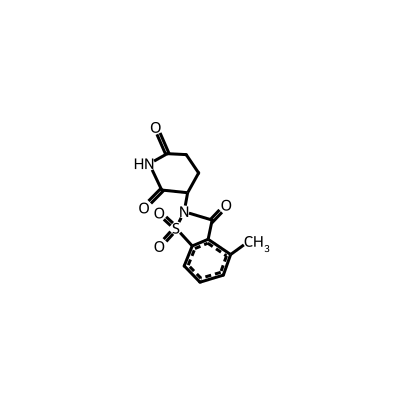 Cc1cccc2c1C(=O)N(C1CCC(=O)NC1=O)S2(=O)=O